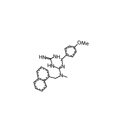 COc1ccc(CN=C(NC(=N)N)N(C)Cc2cccc3ccccc23)cc1